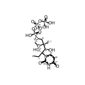 CC[C@@](O)([C@H](O)[C@@](F)(COP(=O)(O)OP(=O)(O)OP(=O)(O)O)OC)n1ccc(=O)[nH]c1=O